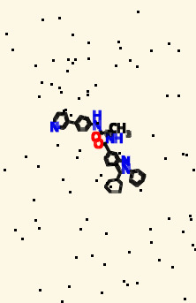 C[C@@H](NC(=O)c1ccc2c(C3CCCCC3)n(-c3ccccc3)nc2c1)C(=O)Nc1ccc(-c2cccnc2)cc1